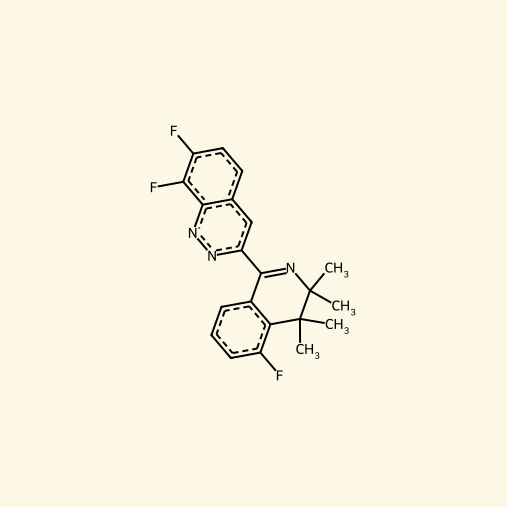 CC1(C)N=C(c2cc3ccc(F)c(F)c3nn2)c2cccc(F)c2C1(C)C